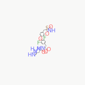 COC(=O)C(Cc1cc(F)c(Oc2ccc(CC3SC(=O)NC3=O)cc2)c(F)c1)NC(=O)C(N)Cc1c[nH]cn1